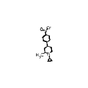 CC1CC(c2ccc([N+](=O)[O-])cc2)CCN1C1CC1